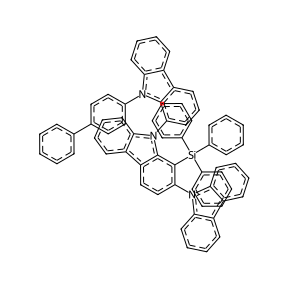 c1ccc(-c2ccc(-n3c4ccccc4c4cccc(-n5c6ccccc6c6ccc(-n7c8ccccc8c8ccccc87)c([Si](c7ccccc7)(c7ccccc7)c7ccccc7)c65)c43)cc2)cc1